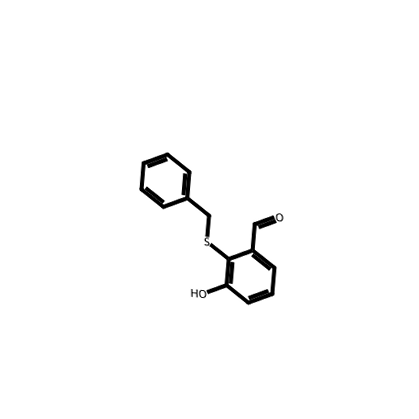 O=Cc1cccc(O)c1SCc1ccccc1